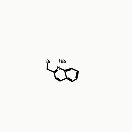 Br.BrCc1ccc2ccccc2n1